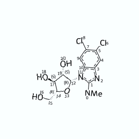 CNc1nc2cc(Cl)c(Cl)cc2n1[C@@H]1O[C@H](CO)[C@@H](O)[C@@H]1O